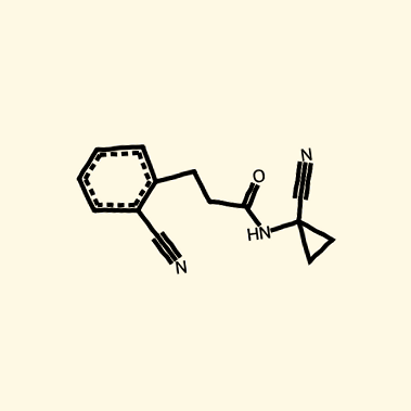 N#Cc1ccccc1CCC(=O)NC1(C#N)CC1